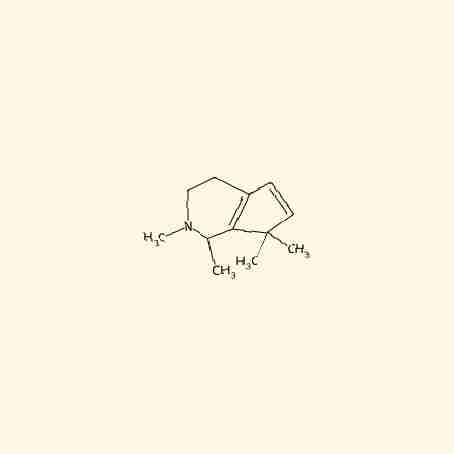 CC1C2=C(C=CC2(C)C)CCN1C